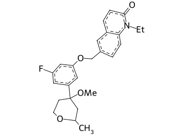 CCn1c(=O)ccc2cc(COc3cc(F)cc(C4(OC)CCOC(C)C4)c3)ccc21